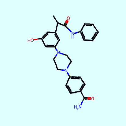 CC(C(=O)Nc1ccccc1)c1cc(O)cc(N2CCN(c3ccc(C(N)=O)cc3)CC2)c1